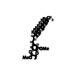 COC(=O)C(C)Oc1ccc(CCCC(F)(F)C(F)(F)C(F)(F)C(F)(F)C(F)(F)C(F)(F)C(F)(F)C(F)(F)F)cc1OC